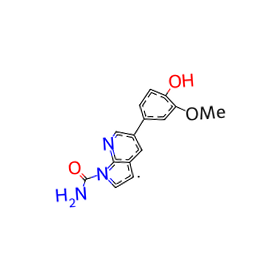 COc1cc(-c2cnc3c([c]cn3C(N)=O)c2)ccc1O